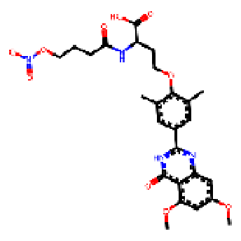 COc1cc(OC)c2c(=O)[nH]c(-c3cc(C)c(OCCC(NC(=O)CCCO[N+](=O)[O-])C(=O)O)c(C)c3)nc2c1